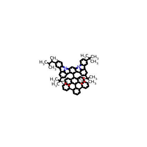 CC(C)C(C)c1ccc2c(c1)c1cc(C(C)(C)C)cc3c4c(-c5c6ccccc6c(-c6c(-c7ccccc7)cccc6-c6ccccc6)c6ccccc56)c5c6cc(C(C)(C)C)cc7c8cc(C(C)(C)C)ccc8n(c5cc4n2c13)c76